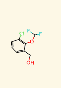 OCc1cccc(Cl)c1OC(F)F